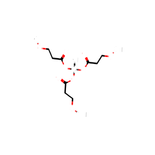 COCCC(=O)O[Si](C)(OC(=O)CCOC)OC(=O)CCOC